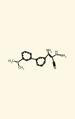 CN(C)c1cccc(-c2cccc(/C(N)=C(\C#N)NN)c2)c1